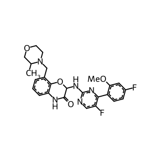 COc1cc(F)ccc1-c1nc(NC2Oc3c(CN4CCOCC4C)cccc3NC2=O)ncc1F